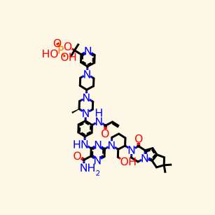 C=CC(=O)Nc1cc(Nc2nc(N3CCCC(N4CCn5c(cc6c5CC(C)(C)C6)C4=O)C3CO)cnc2C(N)=O)ccc1N1CCN(C2CCN(c3ccnc(C(C)(C)OP(=O)(O)O)c3)CC2)C[C@@H]1C